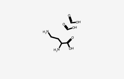 NCCC(N)C(=O)O.O=CO.O=CO